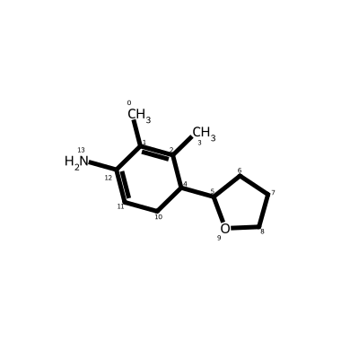 CC1=C(C)C(C2CCCO2)CC=C1N